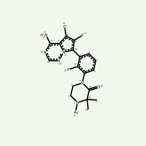 CC(=O)N1CCN(c2cccc(-c3c(F)c(Cl)c4c(N)ncnn34)c2F)C(=O)C1(C)C